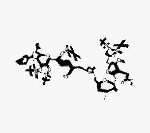 C=CCC1O[C@@H](C(/C=C/C(=O)CCC2CC(=C)[C@H](CCC3C[C@@H](C)C(=C)[C@@H](C[C@@H]4O[C@H](C[C@@H](CO[Si](C)(C)C(C)(C)C)O[Si](C)(C)C(C)(C)C)[C@H](OC)C4CC(=O)OC)O3)O2)O[Si](C)(C)C(C)(C)C)C(O[Si](C)(C)C(C)(C)C)C(O[Si](C)(C)C(C)(C)C)[C@H]1OC(=O)c1ccccc1